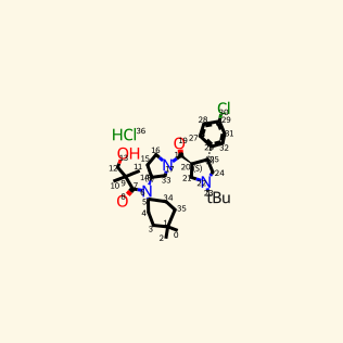 CC1(C)CCC(N(C(=O)C(C)(C)CO)[C@H]2CCN(C(=O)[C@@H]3CN(C(C)(C)C)C[C@H]3c3ccc(Cl)cc3)C2)CC1.Cl